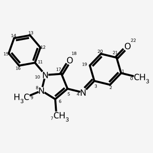 CC1=CC(=Nc2c(C)n(C)n(-c3ccccc3)c2=O)C=CC1=O